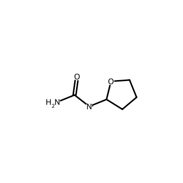 NC(=O)[N]C1CCCO1